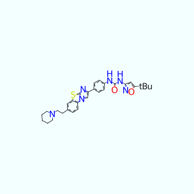 CC(C)(C)c1cc(NC(=O)Nc2ccc(-c3cn4c(n3)sc3cc(CCN5CCCCC5)ccc34)cc2)no1